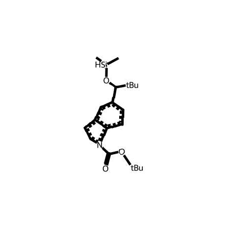 C[SiH](C)OC(c1ccc2c(ccn2C(=O)OC(C)(C)C)c1)C(C)(C)C